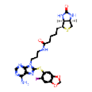 Nc1ncnc2c1nc(Sc1cc3c(cc1I)OCO3)n2CCCNC(=O)CCCC[C@@H]1SC[C@@H]2NC(=O)N[C@@H]21